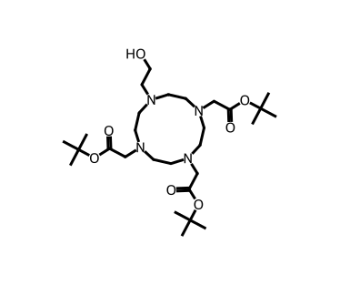 CC(C)(C)OC(=O)CN1CCN(CCO)CCN(CC(=O)OC(C)(C)C)CCN(CC(=O)OC(C)(C)C)CC1